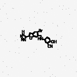 N#Cc1cc(NCc2cc3oc(-c4nnn[nH]4)cc3cc2Br)ccc1O